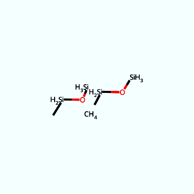 C.C[SiH2]O[SiH3].C[SiH2]O[SiH3]